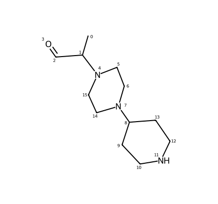 CC(C=O)N1CCN(C2CCNCC2)CC1